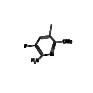 COc1nc(N)c(F)cc1C